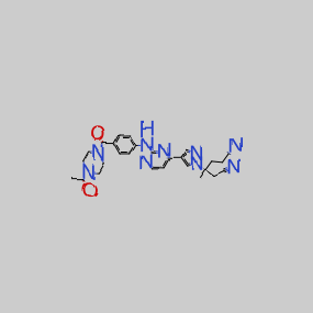 CC(=O)N1CCN(C(=O)c2ccc(Nc3nccc(-c4cnn(C(C)(CC#N)CCC#N)c4)n3)cc2)CC1